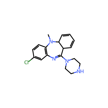 CN1c2ccc(Cl)cc2N=C(N2CCNCC2)C2C=CC=CC21